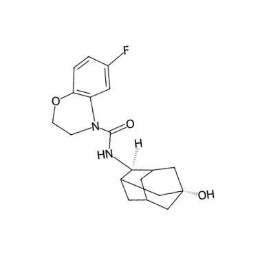 O=C(N[C@H]1C2CC3CC1C[C@](O)(C3)C2)N1CCOc2ccc(F)cc21